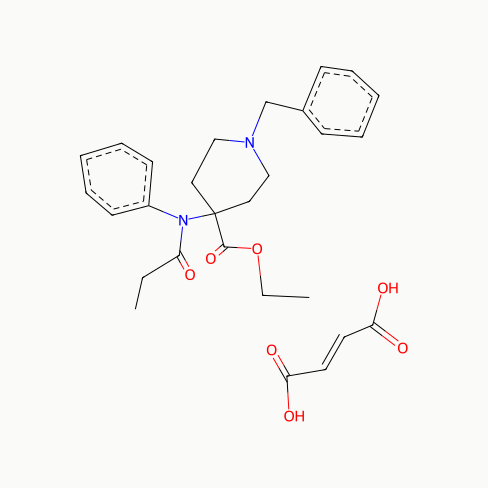 CCOC(=O)C1(N(C(=O)CC)c2ccccc2)CCN(Cc2ccccc2)CC1.O=C(O)C=CC(=O)O